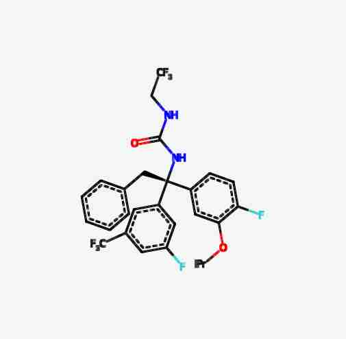 CC(C)Oc1cc([C@@](Cc2ccccc2)(NC(=O)NCC(F)(F)F)c2cc(F)cc(C(F)(F)F)c2)ccc1F